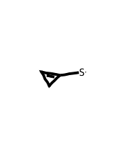 [S]C1=CC1